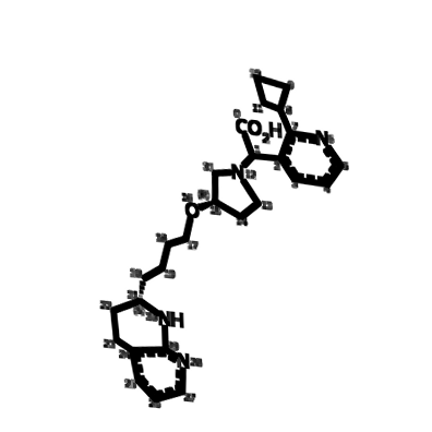 O=C(O)C(c1cccnc1C1CCC1)N1CC[C@@H](OCCCC[C@H]2CCc3cccnc3N2)C1